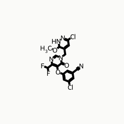 COC1NN=C(Cl)C=C1Cn1cnc(C(F)F)c(Oc2cc(Cl)cc(C#N)c2)c1=O